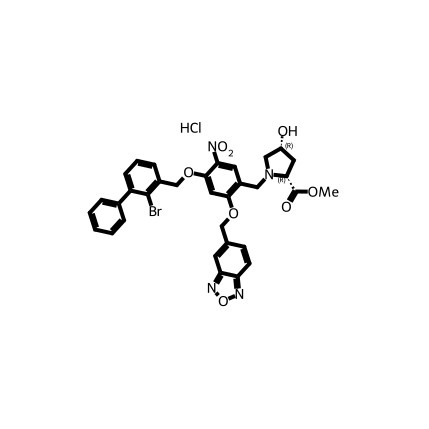 COC(=O)[C@H]1C[C@@H](O)CN1Cc1cc([N+](=O)[O-])c(OCc2cccc(-c3ccccc3)c2Br)cc1OCc1ccc2nonc2c1.Cl